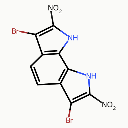 O=[N+]([O-])c1[nH]c2c(ccc3c(Br)c([N+](=O)[O-])[nH]c32)c1Br